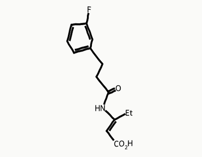 CC/C(=C\C(=O)O)NC(=O)CCc1cccc(F)c1